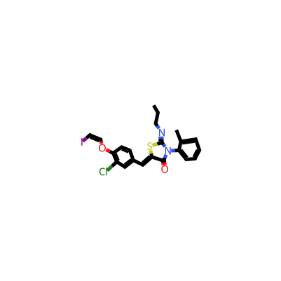 CCC/N=C1\S/C(=C\c2ccc(O/C=C\I)c(Cl)c2)C(=O)N1c1ccccc1C